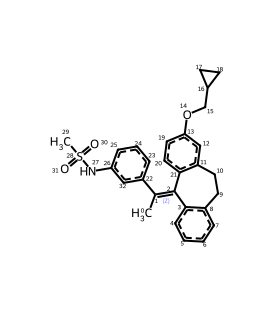 C/C(=C1\c2ccccc2CCc2cc(OCC3CC3)ccc21)c1cccc(NS(C)(=O)=O)c1